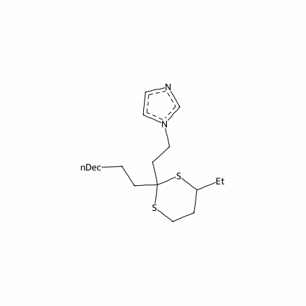 CCCCCCCCCCCCC1(CCn2ccnc2)SCCC(CC)S1